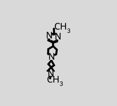 CCc1ncc(C2CCN(C3CC4(C3)CN(C)C4)CC2)cn1